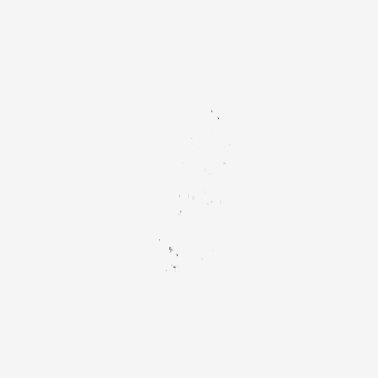 CN(C)c1ccc(C(=O)OC2CC(C)(C)N(O)C(C)(C)C2)cc1